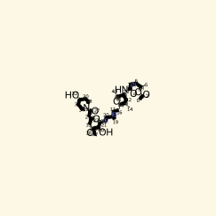 CC(=O)O[C@@H](C)/C=C\C(=O)N[C@@H]1C[C@H](C)[C@H](C/C=C(C)/C=C/[C@H]2O[C@H](CC(=O)N3CCC(O)CC3)C[C@@]3(CO3)[C@@H]2O)O[C@@H]1C